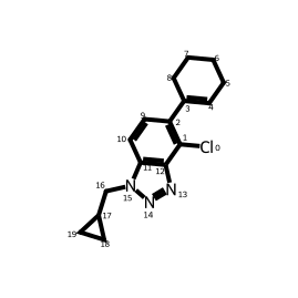 Clc1c(C2=CCCCC2)ccc2c1nnn2CC1CC1